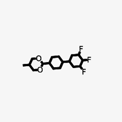 CC1COC(C2CCC(C3CC(F)C(F)C(F)C3)CC2)OC1